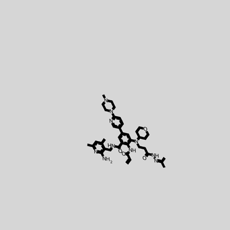 C=CC(=O)Nc1c(C(=O)NCc2c(C)cc(C)nc2N)cc(-c2ccc(N3CCN(C)CC3)nc2)cc1N(CCC(=O)NN=C(C)C)C1CCOCC1